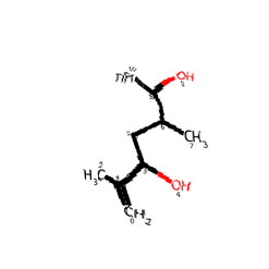 C=C(C)C(O)CC(C)C(O)CCC